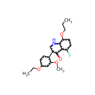 CCCOc1ccc(F)c2c(=O)c(-c3ccc(OCC)cc3OC)c[nH]c12